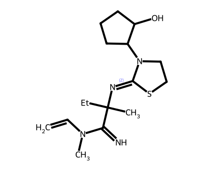 C=CN(C)C(=N)C(C)(CC)/N=C1\SCCN1C1CCCC1O